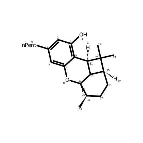 CCCCCc1cc(O)c2c(c1)O[C@@H]1C3[C@@H]2C(C)(C)[C@H]3CC[C@H]1C